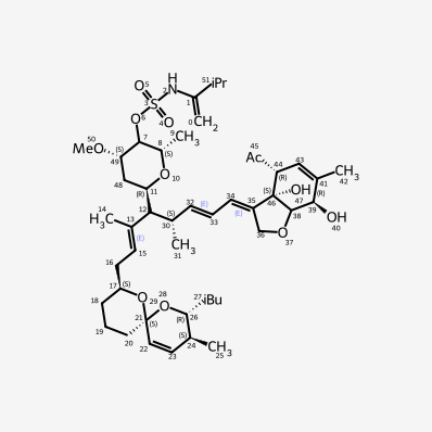 C=C(NS(=O)(=O)OC1[C@H](C)O[C@@H](C(/C(C)=C/C[C@@H]2CCC[C@]3(C=C[C@H](C)[C@@H](C(C)CC)O3)O2)[C@@H](C)/C=C/C=C2\COC3[C@H](O)C(C)=C[C@@H](C(C)=O)[C@]23O)C[C@@H]1OC)C(C)C